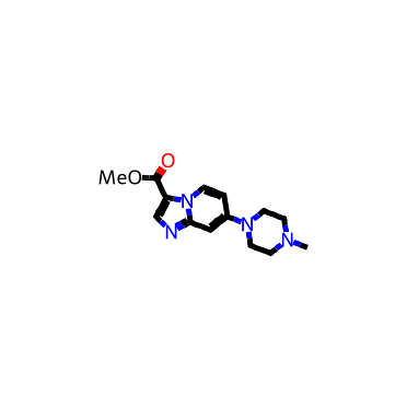 COC(=O)c1cnc2cc(N3CCN(C)CC3)ccn12